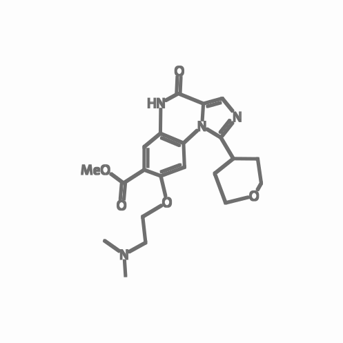 COC(=O)c1cc2[nH]c(=O)c3cnc(C4CCOCC4)n3c2cc1OCCN(C)C